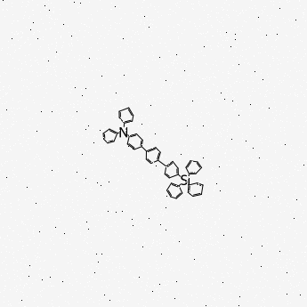 c1ccc(N(c2ccccc2)c2ccc(-c3ccc(-c4ccc([Si](c5ccccc5)(c5ccccc5)c5ccccc5)cc4)cc3)cc2)cc1